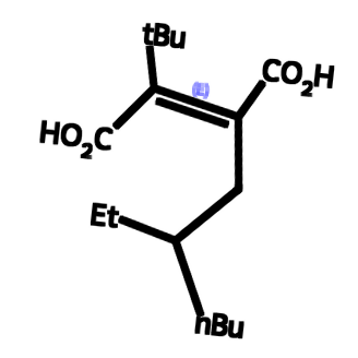 CCCCC(CC)C/C(C(=O)O)=C(\C(=O)O)C(C)(C)C